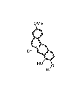 CCOc1ccc2cc3c4ccc(OC)cc4cc[n+]3cc2c1O.[Br-]